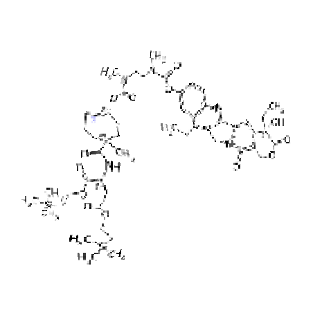 CCc1c2c(nc3ccc(OC(=O)N(C)CCN(C)C(=O)O[C@H]4/C=C/CC[C@@](C)(C(=O)N[C@@H](CC(=O)OCC[Si](C)(C)C)C(=O)OCC[Si](C)(C)C)CC4)cc13)-c1cc3c(c(=O)n1C2)COC(=O)[C@]3(O)CC